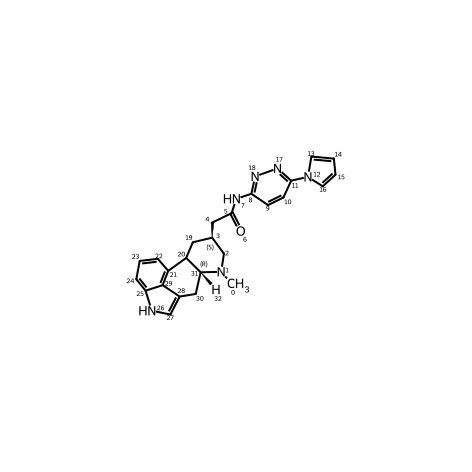 CN1C[C@H](CC(=O)Nc2ccc(-n3cccc3)nn2)CC2c3cccc4[nH]cc(c34)C[C@H]21